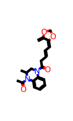 C=C1OCO/C1=C/C=C/CC(=O)N1CC(C)N(C(C)=O)c2ccccc21